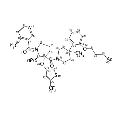 CCC[C@H]1N(C(=O)c2cnccc2C(F)(F)F)CCC[C@@]1(Oc1csc(C(F)(F)F)c1)C(=O)N1CCC(C)(c2ccccc2OCCCC(C)=O)CC1